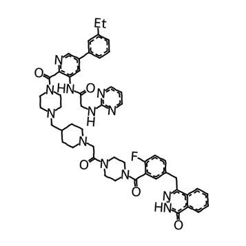 CCc1cccc(-c2cnc(C(=O)N3CCN(CC4CCN(CC(=O)N5CCN(C(=O)c6cc(Cc7n[nH]c(=O)c8ccccc78)ccc6F)CC5)CC4)CC3)c(NC(=O)CNc3ncccn3)c2)c1